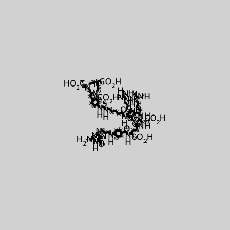 N=C(N)NCCC[C@H](NC(=O)[C@H](CCCNC(=N)N)NC(=O)[C@H](CC(=O)O)NC(=O)CC[C@H](NC(=O)c1ccc(NCc2cnc3nc(N)[nH]c(=O)c3n2)cc1)C(=O)O)C(=O)N[C@@H](CCCCNC(=S)Nc1ccc(CC2CN(CC(=O)O)CCN(CC(=O)O)CCN2CC(=O)O)cc1)C(=O)O